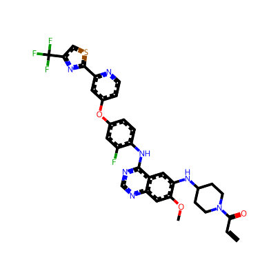 C=CC(=O)N1CCC(Nc2cc3c(Nc4ccc(Oc5ccnc(-c6nc(C(F)(F)F)cs6)c5)cc4F)ncnc3cc2OC)CC1